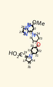 COc1cc(N2CCC(Oc3ccc(N4C[C@H](C)C[C@@H]4CC(=O)O)cc3)CC2)c2nccn2n1